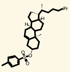 Cc1ccc(S(=O)(=O)O[C@H]2CC[C@@]3(C)C(=CC[C@H]4C5CC[C@H]([C@H](C)CCCC(C)C)[C@H]5CCC43)C2)cc1